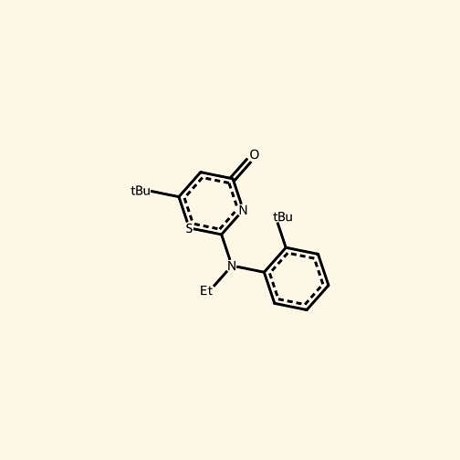 CCN(c1nc(=O)cc(C(C)(C)C)s1)c1ccccc1C(C)(C)C